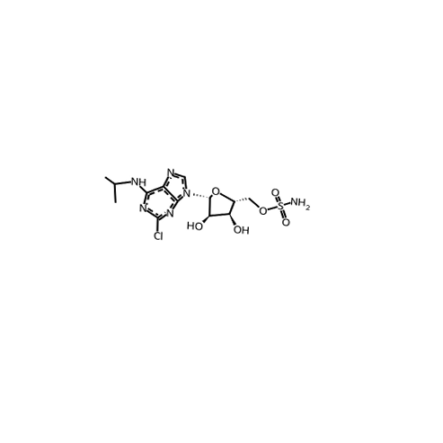 CC(C)Nc1nc(Cl)nc2c1ncn2[C@@H]1O[C@H](COS(N)(=O)=O)[C@@H](O)[C@H]1O